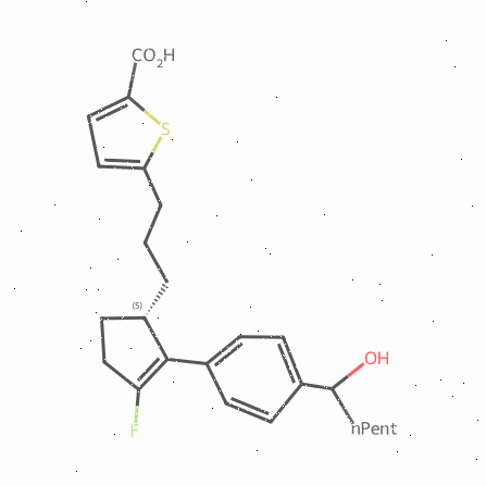 CCCCCC(O)c1ccc(C2=C(F)CC[C@@H]2CCCc2ccc(C(=O)O)s2)cc1